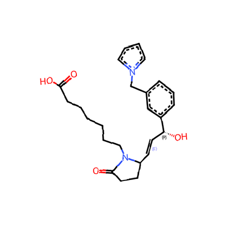 O=C(O)CCCCCCN1C(=O)CCC1/C=C/[C@@H](O)c1cccc(Cn2cccc2)c1